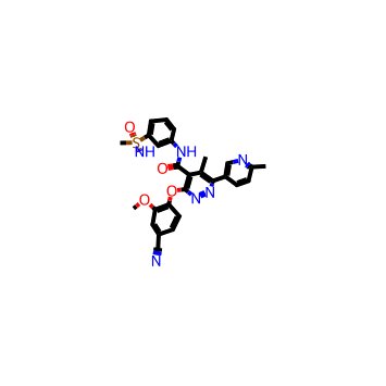 COc1cc(C#N)ccc1Oc1nnc(-c2ccc(C)nc2)c(C)c1C(=O)Nc1cccc(S(C)(=N)=O)c1